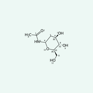 CC(=O)NC1C[C@@H](O)[C@H](O)[C@@H](CO)O1